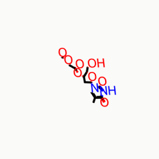 Cc1cn(C2CC(OC(=O)COC=O)C(CO)O2)c(=O)[nH]c1=O